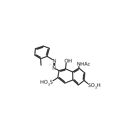 CC(=O)Nc1cc(S(=O)(=O)O)cc2cc(S(=O)(=O)O)c(/N=N/c3ccccc3C)c(O)c12